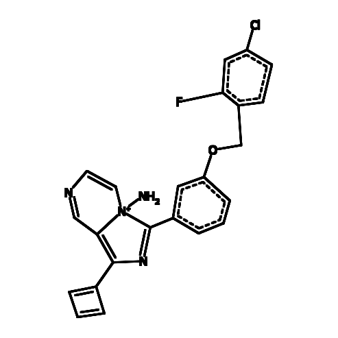 N[N+]12C=CN=CC1=C(C1=CC=C1)N=C2c1cccc(OCc2ccc(Cl)cc2F)c1